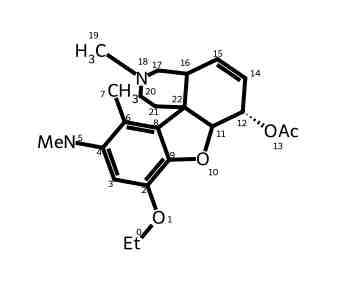 CCOc1cc(NC)c(C)c2c1OC1[C@@H](OC(C)=O)C=CC3CN(C)CCC231